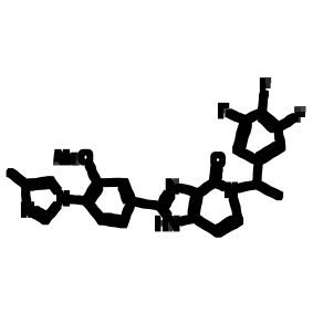 COc1cc(-c2nc3c(=O)n(C(C)c4cc(F)c(F)c(F)c4)ccc3[nH]2)ccc1-n1cnc(C)c1